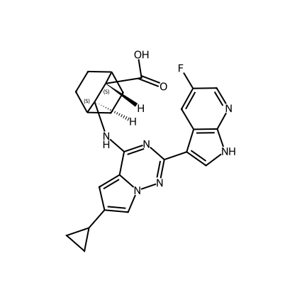 O=C(O)[C@H]1C2CCC(CC2)[C@@H]1Nc1nc(-c2c[nH]c3ncc(F)cc23)nn2cc(C3CC3)cc12